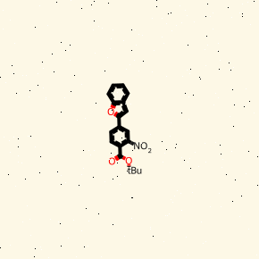 CC(C)(C)OC(=O)c1ccc(-c2cc3ccccc3o2)cc1[N+](=O)[O-]